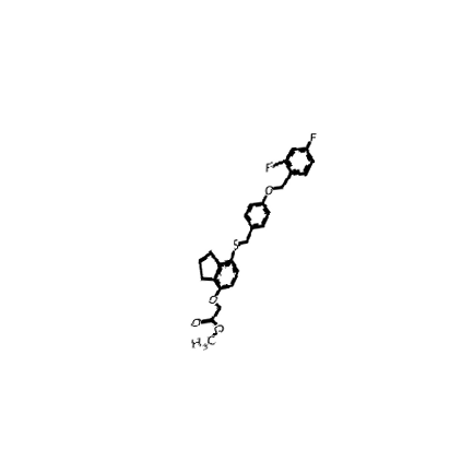 COC(=O)COc1ccc(SCc2ccc(OCc3ccc(F)cc3F)cc2)c2c1CCC2